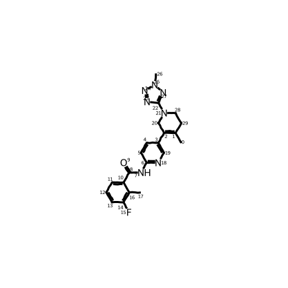 CC1=C(c2ccc(NC(=O)c3cccc(F)c3C)nc2)CN(c2nnn(C)n2)CC1